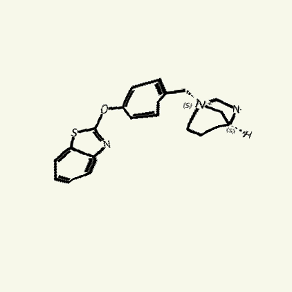 c1ccc2sc(Oc3ccc(C[N@@+]45CC[C@@H](C4)[N]C5)cc3)nc2c1